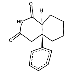 O=C1C[C@@]2(c3ccccc3)CCCC[C@@H]2C(=O)N1